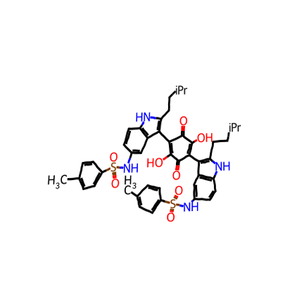 Cc1ccc(S(=O)(=O)Nc2ccc3[nH]c(CCC(C)C)c(C4=C(O)C(=O)C(c5c(CCC(C)C)[nH]c6ccc(NS(=O)(=O)c7ccc(C)cc7)cc56)=C(O)C4=O)c3c2)cc1